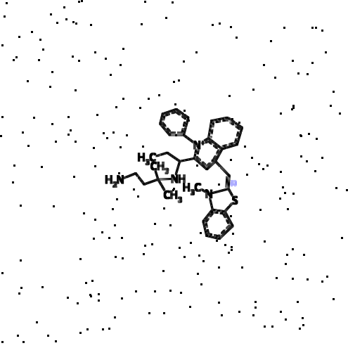 CCC(NC(C)(C)CCN)c1cc(/C=C2/Sc3ccccc3N2C)c2ccccc2[n+]1-c1ccccc1